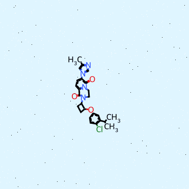 Cc1cn(-c2ccc3n(c2=O)CCN(C2CCC2Oc2ccc(Cl)c(C(C)C)c2)C3=O)cn1